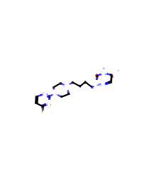 COc1ccnc(N2CCN(CCCCn3ncc(=O)n(C)c3=O)CC2)n1